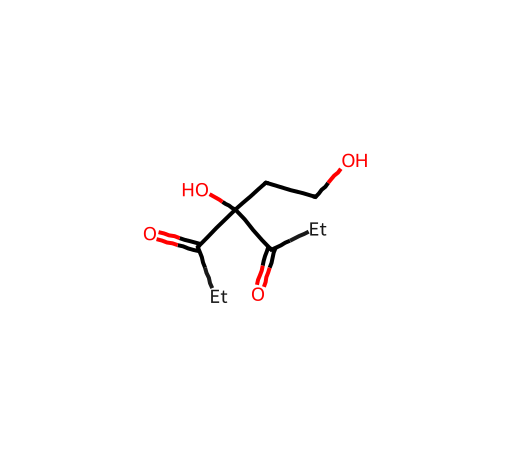 CCC(=O)C(O)(CCO)C(=O)CC